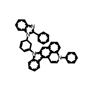 C1=CC(n2c(-c3ccccc3)nc3ccccc32)CC(n2c3ccccc3c3c4c5c(cccc5cc32)N(c2ccccc2)C=C4)=C1